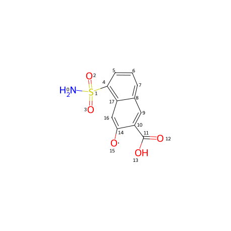 NS(=O)(=O)c1cccc2cc(C(=O)O)c([O])cc12